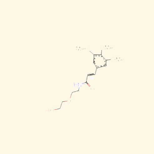 COc1cc(/C=C/C(=O)NCCOCCO)cc(OC)c1OC